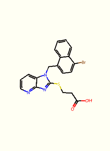 O=C(O)CCSc1nc2ncccc2n1Cc1ccc(Br)c2ccccc12